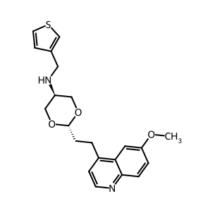 COc1ccc2nccc(CC[C@H]3OC[C@H](NCc4ccsc4)CO3)c2c1